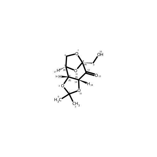 CC1(C)O[C@@H]2[C@H]3CO[C@](CO)(O3)C(=O)[C@@H]2O1